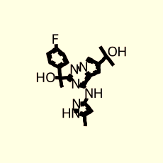 Cc1cc(Nc2nc(C(C)(O)c3ccc(F)cc3)nn3cc(C(C)(C)O)cc23)n[nH]1